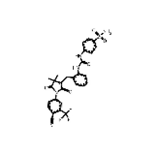 CC1(C)C(=O)N(c2ccc(C#N)c(C(F)(F)F)c2)C(=O)N1Cc1ccccc1NC(=O)Nc1ccc(S(N)(=O)=O)cc1